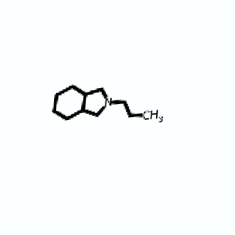 CCCN1CC2CCCCC2C1